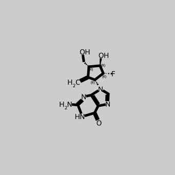 C=C1[C@@H](n2cnc3c(=O)[nH]c(N)nc32)[C@@H](F)[C@H](O)[C@H]1CO